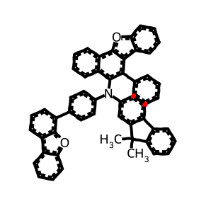 CC1(C)c2ccccc2-c2ccc(N(c3ccc(-c4cccc5c4oc4ccccc45)cc3)c3c(-c4ccccc4)c4c5ccccc5oc4c4ccccc34)cc21